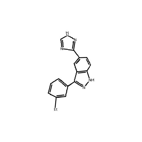 CCc1cccc(-c2n[nH]c3ccc(-c4nc[nH]n4)cc23)c1